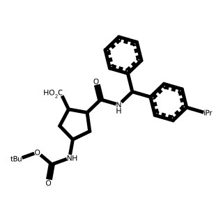 CC(C)c1ccc(C(NC(=O)C2CC(NC(=O)OC(C)(C)C)CC2C(=O)O)c2ccccc2)cc1